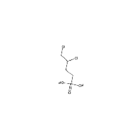 O=P(O)(O)CCC(Cl)CCl